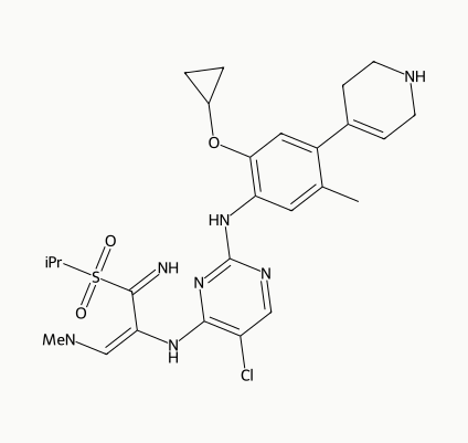 CN/C=C(/Nc1nc(Nc2cc(C)c(C3=CCNCC3)cc2OC2CC2)ncc1Cl)C(=N)S(=O)(=O)C(C)C